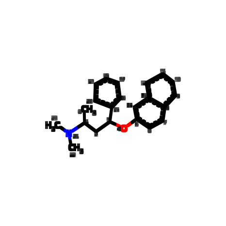 CC(CC(Oc1ccc2ccccc2c1)c1ccccc1)N(C)C